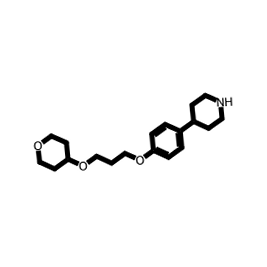 c1cc(C2CCNCC2)ccc1OCCCOC1CCOCC1